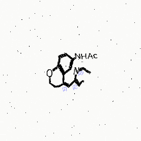 C\C=N/C(=C\C)/C=C1/CCOc2ccc(NC(C)=O)cc21